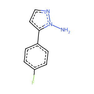 Nn1nccc1-c1ccc(F)cc1